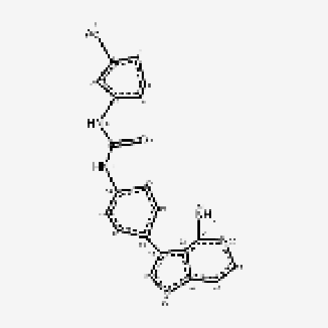 CC(=O)c1cccc(NC(=O)Nc2ccc(-c3csc4ccnc(N)c34)cc2)c1